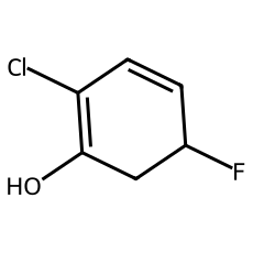 OC1=C(Cl)C=CC(F)C1